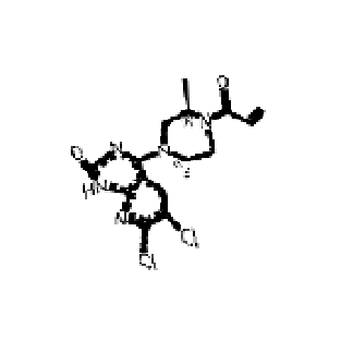 C=CC(=O)N1C[C@H](C)N(c2nc(=O)[nH]c3nc(Cl)c(Cl)cc23)C[C@H]1C